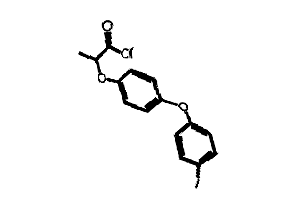 CC(Oc1ccc(Oc2ccc(I)cc2)cc1)C(=O)Cl